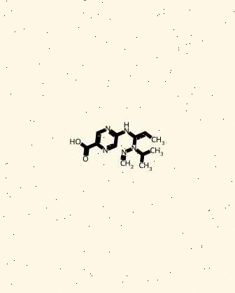 C=NN(/C(=C\C)Nc1cnc(C(=O)O)cn1)C(C)C